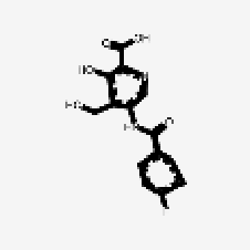 O=C(Nc1cnc(C(=O)O)c(O)c1CO)c1ccc(F)cc1